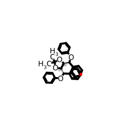 CC1(C)O[C@@H](C(Oc2ccccc2)c2ccccc2)[C@H](C(Oc2ccccc2)c2ccccc2)O1